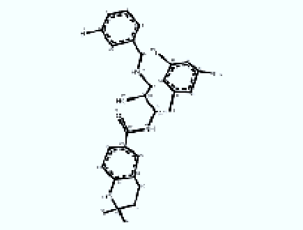 CCc1cccc(CNC[C@H](O)[C@H](Cc2cc(F)cc(F)c2)NC(=O)c2ccc3c(c2)CCC(C)(C)O3)c1